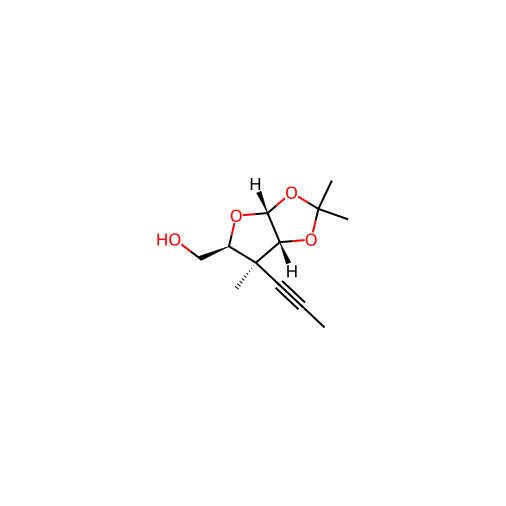 CC#C[C@@]1(C)[C@@H](CO)O[C@@H]2OC(C)(C)O[C@@H]21